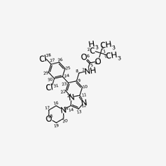 CC(C)(C)OC(=O)NCc1cc2ncc(N3CCOCC3)n2cc1-c1ccc(Cl)cc1Cl